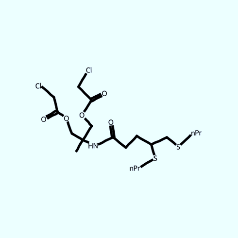 CCCSCC(CCC(=O)NC(C)(COC(=O)CCl)COC(=O)CCl)SCCC